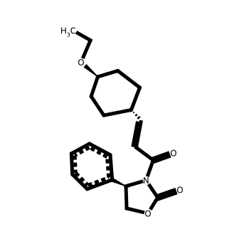 CCO[C@H]1CC[C@H](/C=C/C(=O)N2C(=O)OC[C@H]2c2ccccc2)CC1